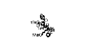 CCCN(C(=O)C1=C(CCCCOC)N(c2ccccc2F)NN1)[C@H]1C[C@@H](C(=O)N2CCOCC2)CN(C(=O)OC(C)(C)C)C1